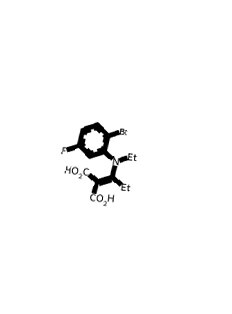 CCC(=C(C(=O)O)C(=O)O)N(CC)c1cc(F)ccc1Br